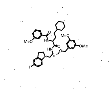 COc1cc(COC[C@H](CN2CCc3cc(F)ccc32)NC(=O)C(CCC2CCCCC2)NC(=O)c2cccc(OC)c2)cc(OC)c1